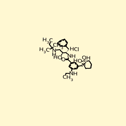 CCNc1cc(C(=O)N[C@@H](Cc2ccccc2)[C@@H](O)CNC(C)(C)CC)cc(N2CCCCS2(O)O)c1.Cl